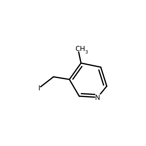 Cc1ccncc1CI